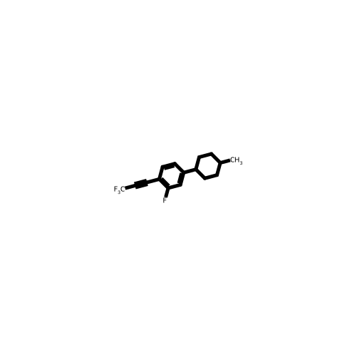 CC1CCC(c2ccc(C#CC(F)(F)F)c(F)c2)CC1